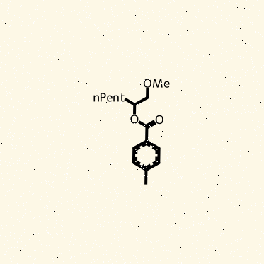 CCCCCC(COC)OC(=O)c1ccc(C)cc1